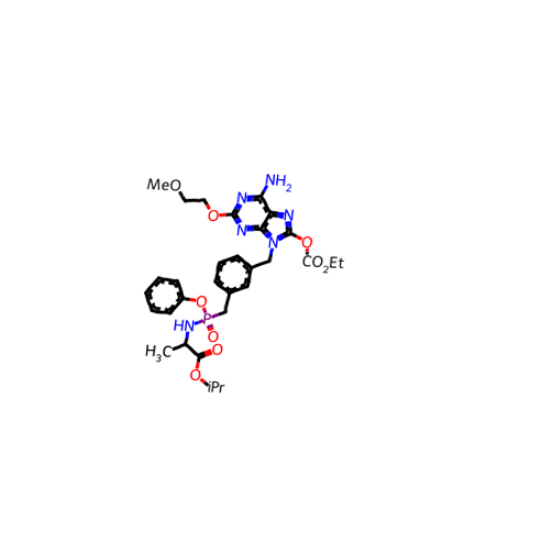 CCOC(=O)Oc1nc2c(N)nc(OCCOC)nc2n1Cc1cccc(CP(=O)(NC(C)C(=O)OC(C)C)Oc2ccccc2)c1